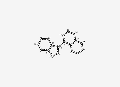 c1ccc2c(-[n+]3coc4ccccc43)cccc2c1